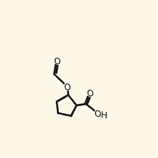 O=COC1CCCC1C(=O)O